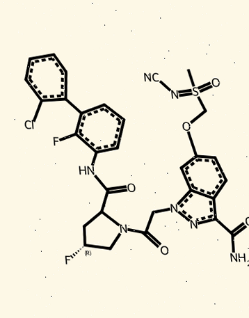 CS(=O)(COc1ccc2c(C(N)=O)nn(CC(=O)N3C[C@H](F)CC3C(=O)Nc3cccc(-c4ccccc4Cl)c3F)c2c1)=NC#N